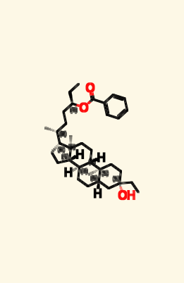 CC[C@H](CC[C@@H](C)[C@H]1CC[C@H]2[C@@H]3CC[C@H]4C[C@](O)(CC)CC[C@]4(C)[C@H]3CC[C@]12C)OC(=O)c1ccccc1